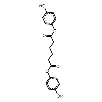 O=C(CCCCC(=O)Oc1ccc(O)cc1)Oc1ccc(O)cc1